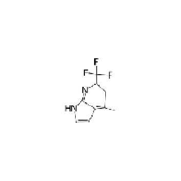 CC1=c2cc[nH]c2=NC(C(F)(F)F)C1